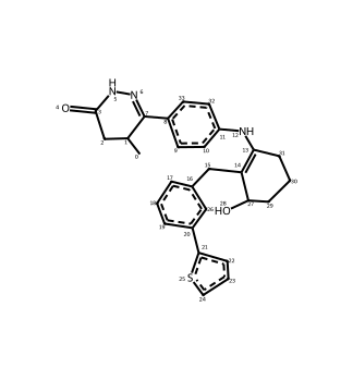 CC1CC(=O)NN=C1c1ccc(NC2=C(Cc3cccc(-c4cccs4)c3)C(O)CCC2)cc1